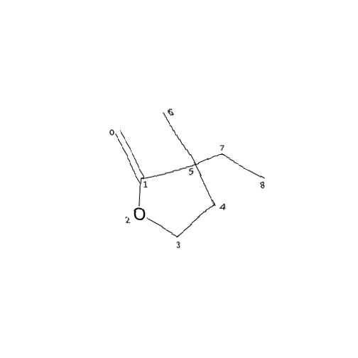 C=C1OCCC1(C)CC